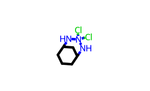 Cl[N+]1(Cl)NC2CCCC(C2)N1